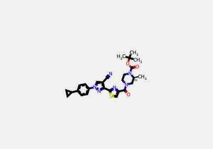 C[C@H]1CN(C(=O)c2csc(-c3nn(-c4ccc(C5CC5)cc4)cc3C#N)n2)CCN1C(=O)OC(C)(C)C